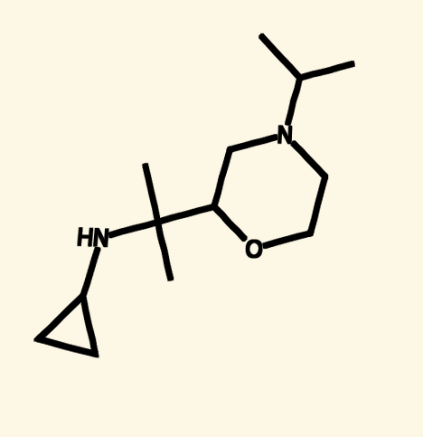 CC(C)N1CCOC(C(C)(C)NC2CC2)C1